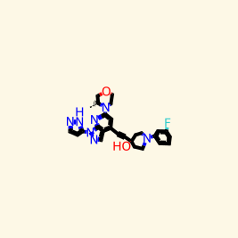 C[C@@H]1COCCN1c1cc(C#CC2(O)CCN(c3cccc(F)c3)CC2)c2cnn(-c3ccn[nH]3)c2n1